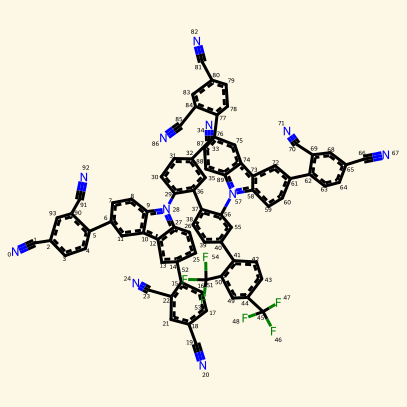 N#Cc1ccc(-c2ccc3c(c2)c2cc(-c4ccc(C#N)cc4C#N)ccc2n3-c2ccc(C#N)cc2-c2ccc(-c3ccc(C(F)(F)F)cc3C(F)(F)F)cc2-n2c3ccc(-c4ccc(C#N)cc4C#N)cc3c3cc(-c4ccc(C#N)cc4C#N)ccc32)c(C#N)c1